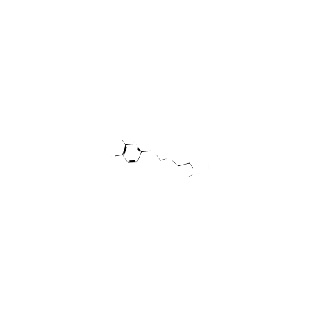 C[Si](C)(C)CCOCOc1ccc(Br)c(F)n1